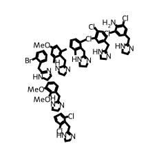 Brc1ccccc1CC1=NCCN1.COc1cc(C)c(CC2=NCCN2)c(C)c1.COc1cccc(CC2=NCCN2)c1OC.Cc1cccc(C)c1CC1=NCCN1.Clc1ccc(CC2=NCCN2)cc1Cl.Clc1cccc(Cl)c1CC1=NCCN1.Nc1c(Cl)cc(CC2=NCCN2)cc1Cl